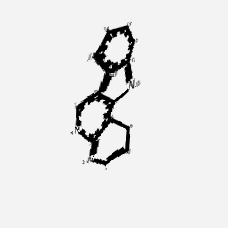 C1=CN=c2ncc3c(c2C1)N=c1ccccc1=3